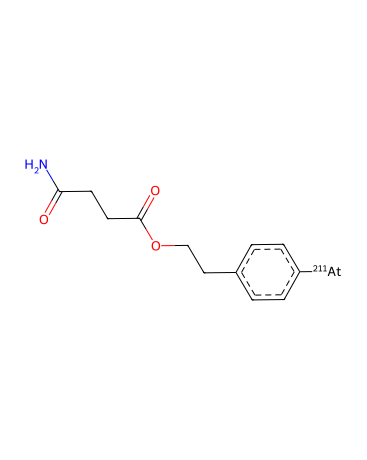 NC(=O)CCC(=O)OCCc1ccc([211At])cc1